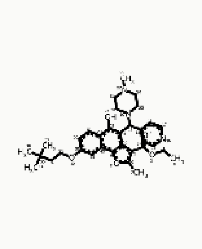 CCOC(=O)c1c(C)oc2c1c(C(c1ccncc1)N1CCN(C)CC1)c(O)c1ccc(OCCC(C)(C)C)cc12